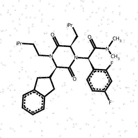 CC(C)CCN1C(=O)[C@@H](CC(C)C)N([C@@H](C(=O)N(C)C)c2ccc(F)cc2F)C(=O)[C@H]1C1Cc2ccccc2C1